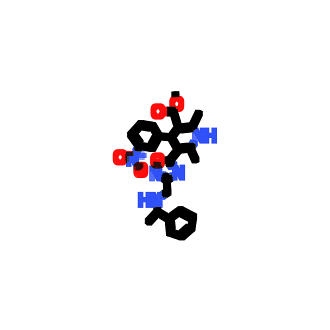 COC(=O)C1=C(C)NC(C)=C(c2nc(CNC(C)c3ccccc3)no2)C1c1cccc([N+](=O)[O-])c1